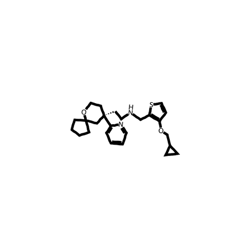 c1ccc([C@]2(CCNCc3sccc3OCC3CC3)CCOC3(CCCC3)C2)nc1